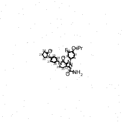 CC(C)Oc1ccc(-n2nc(C(N)=O)c3c2C(=O)N(c2ccc(N4CCCC4=O)cc2)CC3)cc1F